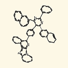 C1=Cc2cc(-c3nc(-c4ccccc4)nc(-c4ccc5ccccc5c4)c3-c3ccc(-c4nc5c(nc6ccccn65)c5ccccc45)cc3)ccc2CC1